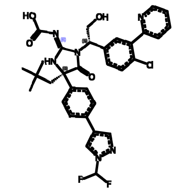 CC(C)(C)C[C@]1(c2ccc(-c3cnn(C(F)F)c3)cc2)N/C(=N\C(=O)O)N([C@H](CO)c2ccc(Cl)c(-c3ccccn3)c2)C1=O